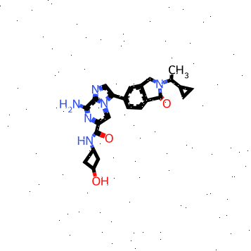 CC(C1CC1)N1Cc2cc(-c3cnc4c(N)nc(C(=O)NC5CC(O)C5)cn34)ccc2C1=O